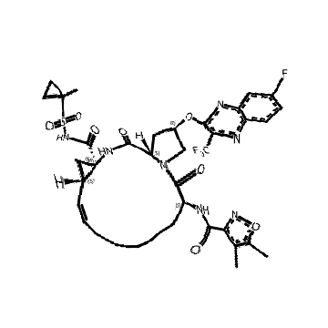 Cc1onc(C(=O)N[C@H]2CCCCCC=C[C@@H]3C[C@@]3(C(=O)NS(=O)(=O)C3(C)CC3)NC(=O)[C@@H]3C[C@@H](Oc4nc5cc(F)ccc5nc4C(F)(F)F)CN3C2=O)c1C